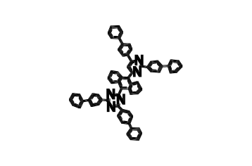 c1ccc(-c2ccc(-c3cc(-c4c5ccccc5c(-c5nc(-c6ccc(-c7ccccc7)cc6)nc(-c6ccc(-c7ccccc7)cc6)n5)c5ccccc45)nc(-c4ccc(-c5ccccc5)cc4)n3)cc2)cc1